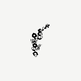 C[Si](C)(C)CCOCn1ccc2cc3c(nc21)OCCCN3c1ccccc1C(=O)NS(=O)(=O)c1cc2c(c([N+](=O)[O-])c1)N[C@H](C1CCOCC1)CO2